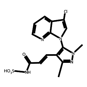 Cc1nn(C)c(-n2cc(Cl)c3cccnc32)c1C=CC(=O)NS(=O)(=O)O